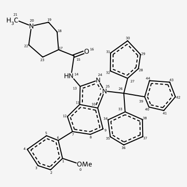 COc1ccccc1-c1ccc2c(c1)c(NC(=O)C1CCN(C)CC1)nn2C(c1ccccc1)(c1ccccc1)c1ccccc1